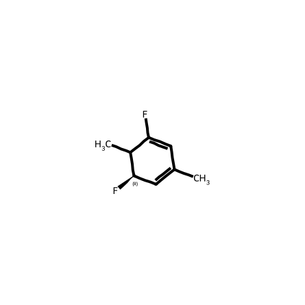 CC1=C[C@@H](F)C(C)C(F)=C1